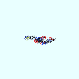 Cc1ncsc1-c1ccc(CCNC(=O)[C@@H]2C[C@@H](O)CN2C(=O)[C@H](C)[C@H](C)c2cc(N(C)C3CCN(C(=O)OC(C)(C)C)CC3)no2)cc1